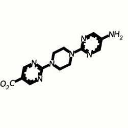 Nc1cnc(N2CCN(c3ncc(C(=O)O)cn3)CC2)nc1